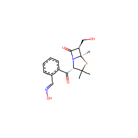 CC1(C)S[C@@H]2[C@H](CO)C(=O)N2[C@H]1C(=O)c1ccccc1C=NO